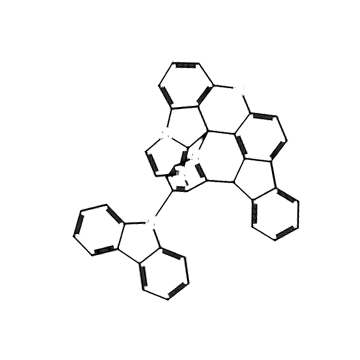 C[n+]1ccn2c1C13c4c(cccc4-2)Oc2ccc4c(c21)C(c1ccccc1-4)c1cc(-n2c4ccccc4c4ccccc42)cc[n+]13